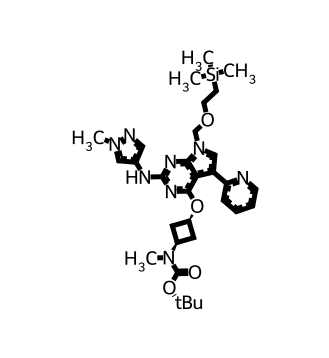 Cn1cc(Nc2nc(O[C@H]3C[C@H](N(C)C(=O)OC(C)(C)C)C3)c3c(-c4ccccn4)cn(COCC[Si](C)(C)C)c3n2)cn1